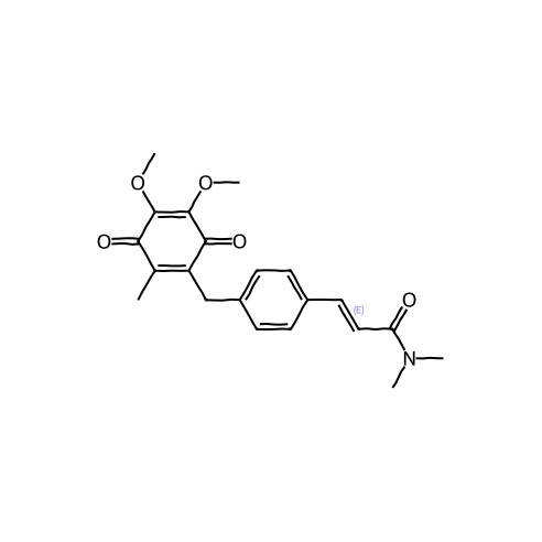 COC1=C(OC)C(=O)C(Cc2ccc(/C=C/C(=O)N(C)C)cc2)=C(C)C1=O